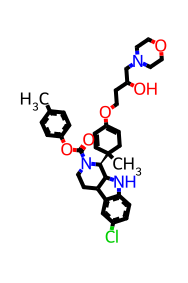 Cc1ccc(OC(=O)N2CCC3c4cc(Cl)ccc4NC3[C@@H]2C2(C)C=CC(OCCC(O)CN3CCOCC3)=CC2)cc1